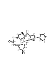 Cn1nc(-c2ccccc2)cc1Nc1ncc2c(n1)-c1ccc(Cl)cc1NC(=O)C2